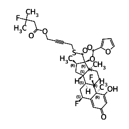 C[C@@H]1C[C@H]2[C@@H]3C[C@H](F)C4=CC(=O)C=C(O)[C@]4(C)[C@@]3(F)CC[C@]2(C)[C@@]1(OC(=O)c1ccco1)C(=O)SCC#CCOC(=O)CC(C)(C)F